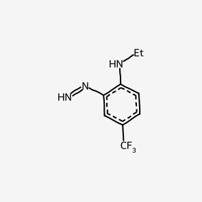 CCNc1ccc(C(F)(F)F)cc1N=N